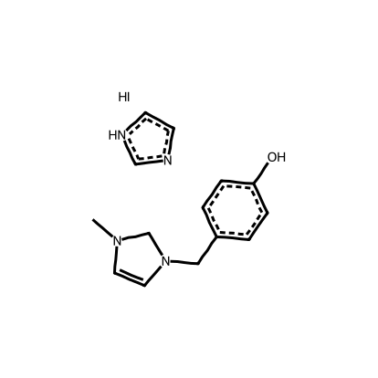 CN1C=CN(Cc2ccc(O)cc2)C1.I.c1c[nH]cn1